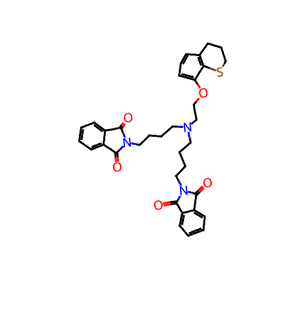 O=C1c2ccccc2C(=O)N1CCCCN(CCCCN1C(=O)c2ccccc2C1=O)CCOc1cccc2c1SCCC2